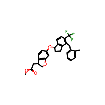 COC(=O)CC1COc2cc(O[C@@H]3CCc4c3ccc(C(F)(F)F)c4Cc3ccccc3C)ccc21